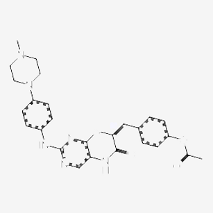 CC(=O)Oc1ccc(/C=C2/Sc3nc(Nc4ccc(N5CCN(C)CC5)cc4)ncc3NC2=O)cc1